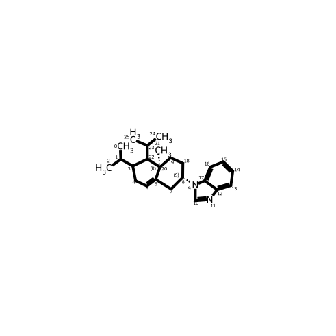 CC(C)C1CC=C2C[C@@H](n3cnc4ccccc43)CC[C@]2(C)C1C(C)C